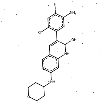 Nc1cc(C2=Cc3cnc(NC4CCOCC4)cc3NC2O)c(Cl)cc1F